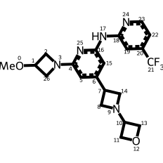 COC1CN(c2cc(C3CN(C4COC4)C3)cc(Nc3cc(C(F)(F)F)ccn3)n2)C1